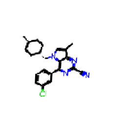 Cc1cn(C[C@H]2CC[C@H](C)CC2)c2c(-c3cccc(Cl)c3)nc(C#N)nc12